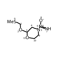 CSCOC1CN([N+](=N)[O-])CCO1